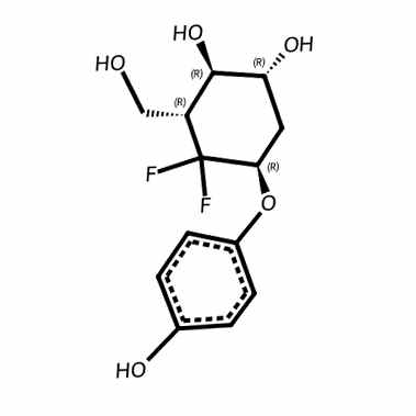 OC[C@@H]1[C@@H](O)[C@H](O)C[C@@H](Oc2ccc(O)cc2)C1(F)F